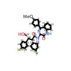 COc1ccc(C2=NC(NC(=O)[C@H](c3ccc(F)cc3)[C@@H](CO)c3ccc(F)c(F)c3)C(=O)Nc3ccccc32)cc1